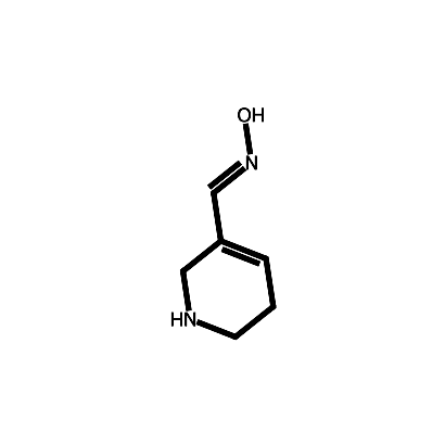 ON=CC1=CCCNC1